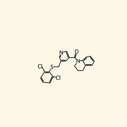 O=C(c1cncc(CSc2c(Cl)cccc2Cl)c1)N1CCCc2ccccc21